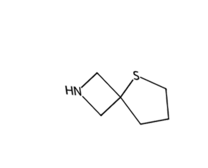 C1CSC2(C1)CNC2